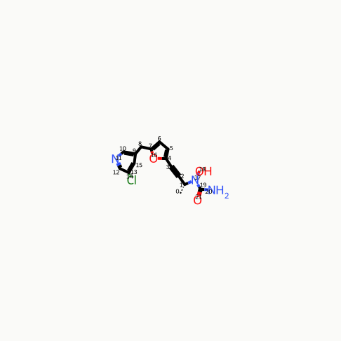 C[C@H](C#Cc1ccc(Cc2cncc(Cl)c2)o1)N(O)C(N)=O